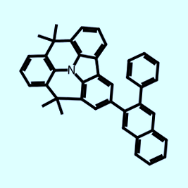 CC1(C)c2cccc3c2-n2c4c1cccc4c1cc(-c4cc5ccccc5cc4-c4ccccc4)cc(c12)C3(C)C